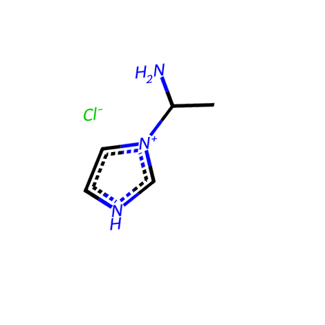 CC(N)[n+]1cc[nH]c1.[Cl-]